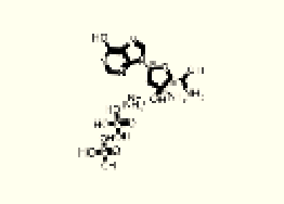 N.N.NC(O)[C@H]1O[C@@H](n2cnc3c(O)ncnc32)C[C@]1(N)O.O=P(O)(O)O.O=P(O)(O)O